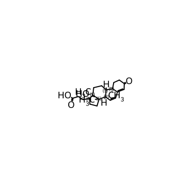 C[C@]12CC[C@H]3[C@@H](C=CC4=CC(=O)CC[C@@]43C)[C@]1(C)CC[C@@]2(O)CCC(=O)O